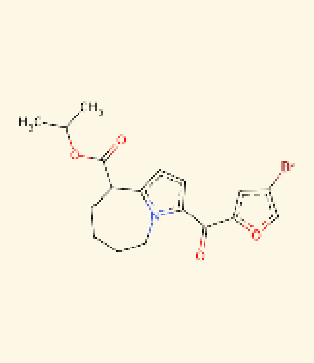 CC(C)OC(=O)C1CCCCn2c(C(=O)c3cc(Br)co3)ccc21